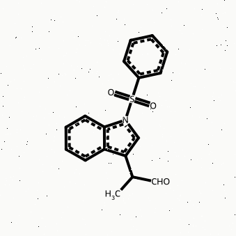 CC(C=O)c1cn(S(=O)(=O)c2ccccc2)c2ccccc12